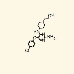 Nc1ncc(Oc2ccc(Cl)cc2)c(NC2CCC(CCO)CC2)n1